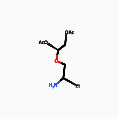 CCC(N)CO[C@H](COC(C)=O)OC(C)=O